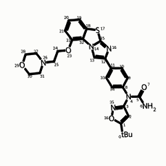 CC(C)(C)c1cc(N(C(N)=O)c2ccc(-c3cn4c(n3)sc3cccc(OCCN5CCOCC5)c34)cc2)no1